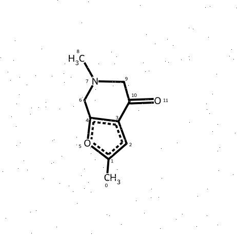 Cc1cc2c(o1)CN(C)CC2=O